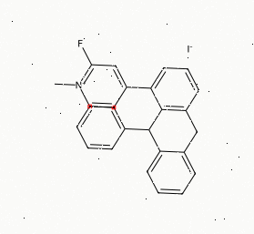 C[n+]1ccc(-c2cccc3c2C(c2ccccc2)c2ccccc2C3)cc1F.[I-]